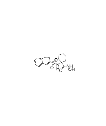 O=C(NO)C1(NS(=O)(=O)c2ccc3ccccc3c2)CCCCC1